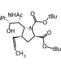 C/C=C\[C@@H]1C[C@H](C(=O)OC(C)(C)C)N(C(=O)OC(C)(C)C)[C@H]1[C@@H](NC(C)=O)[C@H](O)C(C)C